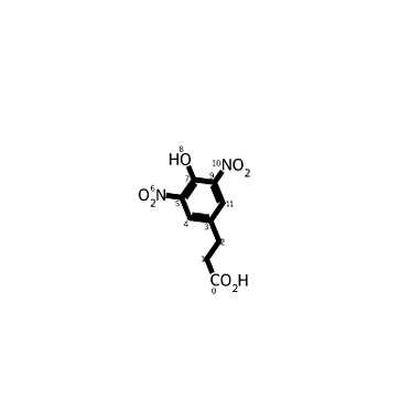 O=C(O)CCc1cc([N+](=O)[O-])c(O)c([N+](=O)[O-])c1